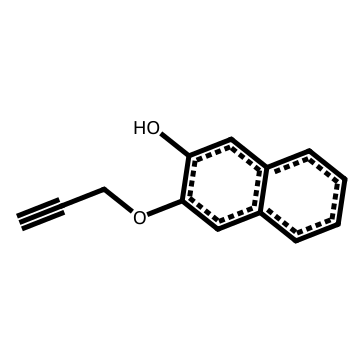 C#CCOc1cc2ccccc2cc1O